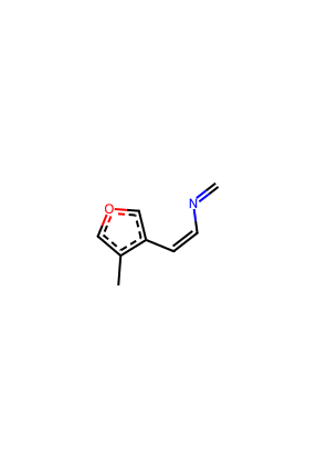 C=N/C=C\c1cocc1C